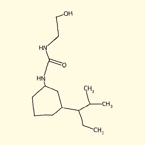 CCC(C(C)C)C1CCCC(NC(=O)NCCO)C1